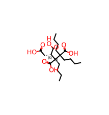 CCCCC(CCCC)(C(=O)O)[C@](CCCC)(C(=O)O)[C@H](CC(=O)O)C(=O)O